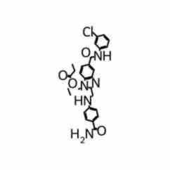 CCOC(=O)CC.Cn1c(CNc2ccc(C(N)=O)cc2)nc2cc(C(=O)Nc3cccc(Cl)c3)ccc21